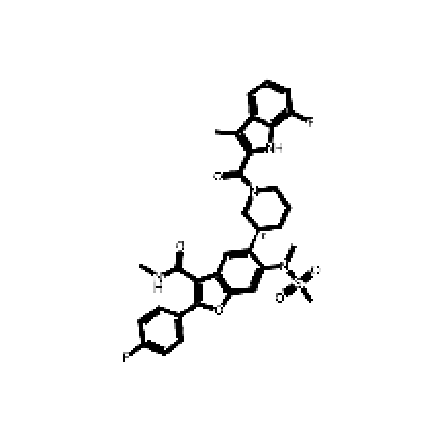 CNC(=O)c1c(-c2ccc(F)cc2)oc2cc(N(C)S(C)(=O)=O)c([C@@H]3CCCN(C(=O)c4[nH]c5c(F)cccc5c4C)C3)cc12